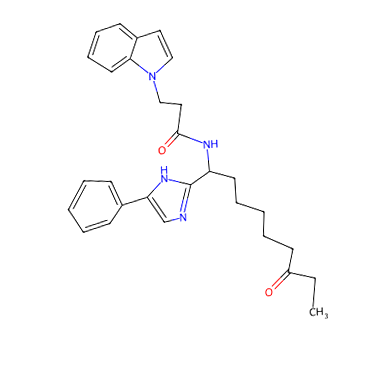 CCC(=O)CCCCCC(NC(=O)CCn1ccc2ccccc21)c1ncc(-c2ccccc2)[nH]1